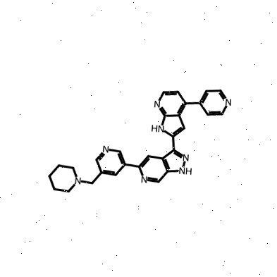 c1cc(-c2ccnc3[nH]c(-c4n[nH]c5cnc(-c6cncc(CN7CCCCC7)c6)cc45)cc23)ccn1